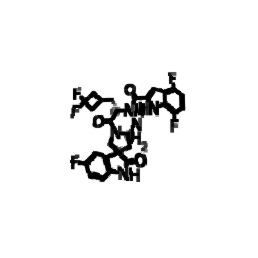 N[C@@H]1C[C@@]2(CN1C(=O)[C@H](CC1CC(F)(F)C1)NC(=O)c1cc3c(F)ccc(F)c3[nH]1)C(=O)Nc1ccc(F)cc12